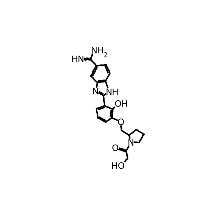 N=C(N)c1ccc2[nH]c(-c3cccc(OCC4CCCN4C(=O)CO)c3O)nc2c1